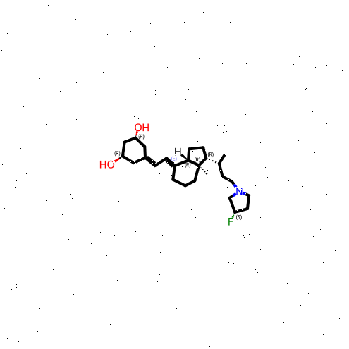 CC(CCN1CC[C@H](F)C1)[C@H]1CC[C@H]2/C(=C/C=C3C[C@@H](O)C[C@H](O)C3)CCC[C@]12C